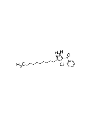 CCCCCCCCCCc1cc(C(=O)c2ccccc2Cl)c(N)s1